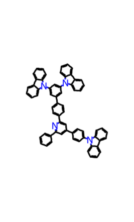 c1ccc(-c2cc(-c3ccc(-n4c5ccccc5c5ccccc54)cc3)cc(-c3ccc(-c4cc(-n5c6ccccc6c6ccccc65)cc(-n5c6ccccc6c6ccccc65)c4)cc3)n2)cc1